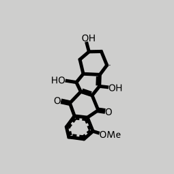 COc1cccc2c1C(=O)C1=C(C2=O)C(O)C2CC(O)C[CH]C2=C1O